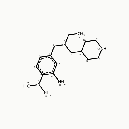 CCN(Cc1ccc(N(C)N)c(N)c1)CC1CCNCC1